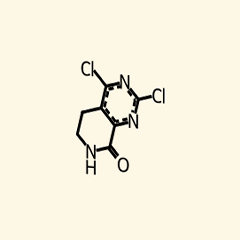 O=C1NCCc2c(Cl)nc(Cl)nc21